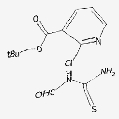 CC(C)(C)OC(=O)c1cccnc1Cl.NC(=S)NC=O